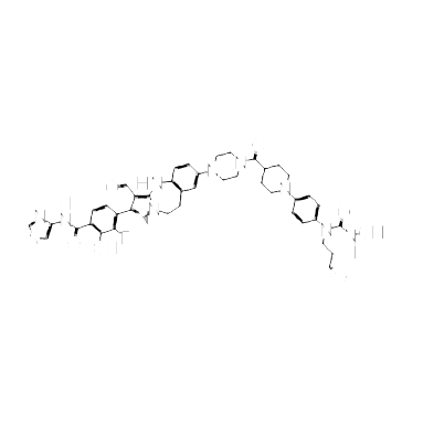 CNC(=O)N(CCC=O)c1ccc(N2CCC(C(=O)N3CCN(c4ccc5c(c4)CCn4nc(-c6ccc(C(=O)Nc7cscn7)c(C)c6F)c(C=O)c4N5)CC3)CC2)cc1